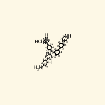 Cl.NCC1CCC(C(=O)N[C@@H](Cc2ccc(-c3ccc(N4CCNCC4)cc3)cc2)C(=O)Nc2ccc(-c3nn[nH]n3)cc2)CC1